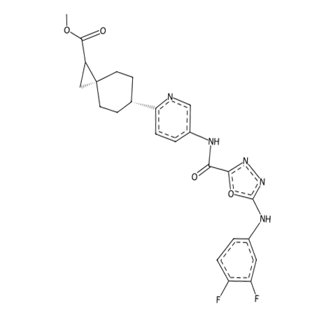 COC(=O)C1C[C@]12CC[C@@H](c1ccc(NC(=O)c3nnc(Nc4ccc(F)c(F)c4)o3)cn1)CC2